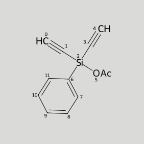 C#C[Si](C#C)(OC(C)=O)c1ccccc1